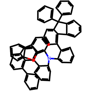 c1ccc(-c2cccc3cccc(-c4ccccc4N(c4ccccc4-c4cccc5c4-c4ccccc4C5(c4ccccc4)c4ccccc4)c4cccc5c4oc4ccccc45)c23)cc1